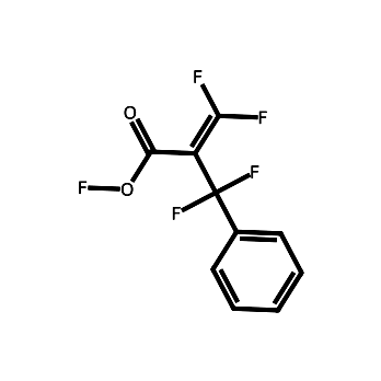 O=C(OF)C(=C(F)F)C(F)(F)c1ccccc1